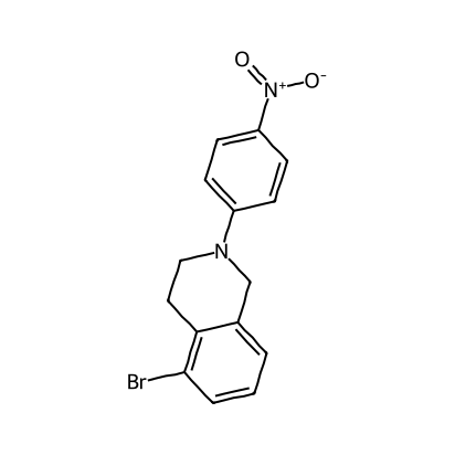 O=[N+]([O-])c1ccc(N2CCc3c(Br)cccc3C2)cc1